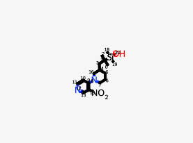 CC(C)(CC1CCCN(c2ccncc2[N+](=O)[O-])C1)[Si](C)(C)O